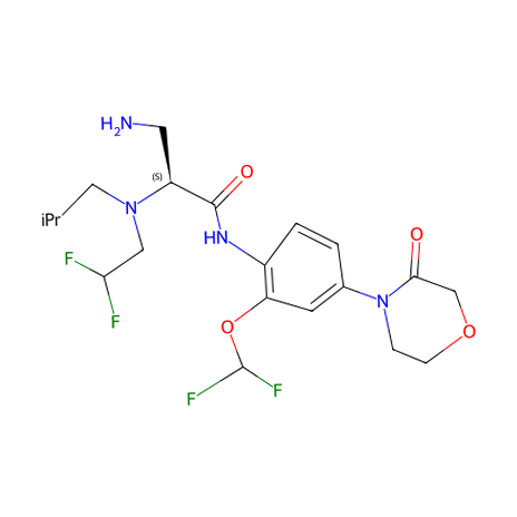 CC(C)CN(CC(F)F)[C@@H](CN)C(=O)Nc1ccc(N2CCOCC2=O)cc1OC(F)F